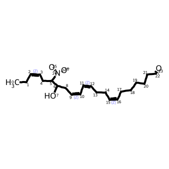 CC/C=C\CC(C(O)C/C=C\C=C/CC/C=C\CCCCC[C]=O)[N+](=O)[O-]